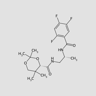 C[C@H](CNC(=O)[C@H]1OC(C)(C)OCC1(C)C)NC(=O)c1cc(F)c(F)cc1F